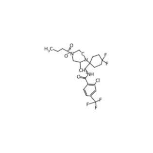 CCCS(=O)(=O)N1CCN(C2(CNC(=O)c3ccc(C(F)(F)F)cc3Cl)CCC(F)(F)CC2)C(C)C1